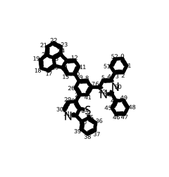 c1ccc(-c2cc(-c3cc(-c4ccc5c(c4)-c4cccc6cccc-5c46)cc(-c4ccnc5c4sc4ccccc45)c3)nc(-c3ccccc3)n2)cc1